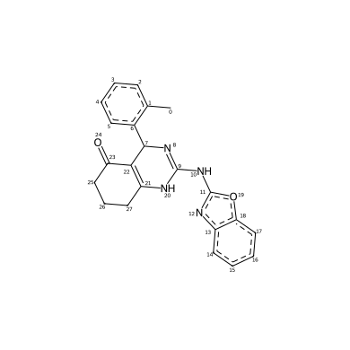 Cc1ccccc1C1N=C(Nc2nc3ccccc3o2)NC2=C1C(=O)CCC2